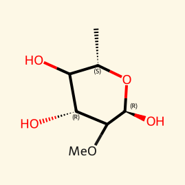 COC1[C@H](O)C(O)[C@H](C)O[C@H]1O